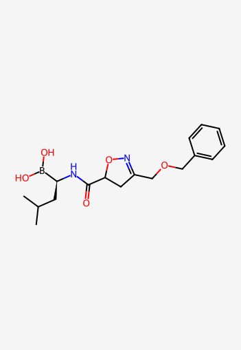 CC(C)C[C@H](NC(=O)C1CC(COCc2ccccc2)=NO1)B(O)O